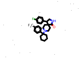 O=C1NCC(c2ccc(F)cc2)C12CCN(C1(c3ccc(C(F)(F)F)cc3)CCCCC1)CC2